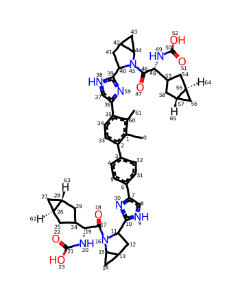 Cc1c(-c2ccc(-c3c[nH]c(C4CC5CC5N4C(=O)[C@H](NC(=O)O)C4C[C@H]5C[C@@H]5C4)n3)cc2)ccc(-c2c[nH]c(C3CC4CC4N3C(=O)[C@H](NC(=O)O)C3C[C@H]4C[C@@H]4C3)n2)c1C